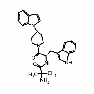 CC(C)(N)C(=O)N[C@H](Cc1c[nH]c2ccccc12)C(=O)N1CCC(n2ccc3ccccc32)CC1